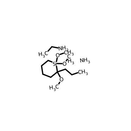 CCCC1(OC)CCCC[Si]1(OC)OC.CCN.N